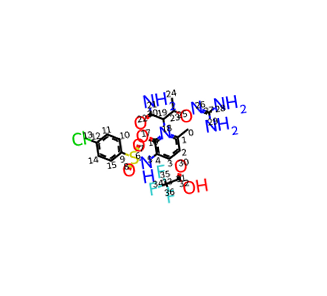 Cc1ccc(NS(=O)(=O)c2ccc(Cl)cc2)c(=O)n1C(C(N)=O)C(C)ON=C(N)N.O=C(O)C(F)(F)F